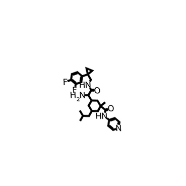 CC(C)CC1CC(C(N)C(=O)NCC2(c3ccc(F)c(F)c3)CC2)CC(C)(C(=O)Nc2ccncc2)C1